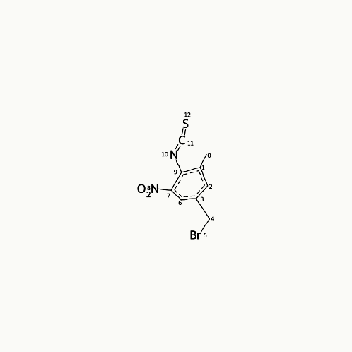 Cc1cc(CBr)cc([N+](=O)[O-])c1N=C=S